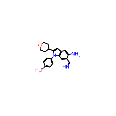 N=Cc1cc2c(cc1N)cc(C1CCOCC1)n2-c1ccc(P)cc1